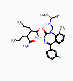 Cc1cccc2c1N(CN[C@H](C(=O)O)C(C)C)C(=O)[C@@H](NC(=O)[C@H](CCC(F)(F)F)[C@H](CCC(F)(F)F)C(N)=O)N=C2c1cccc(F)c1